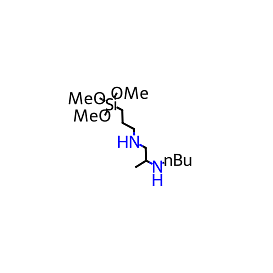 CCCCNC(C)CNCCC[Si](OC)(OC)OC